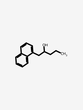 CCCC(O)Cc1cccc2ccccc12